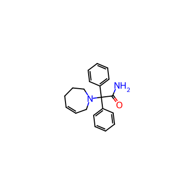 NC(=O)C(c1ccccc1)(c1ccccc1)N1CC=CCCC1